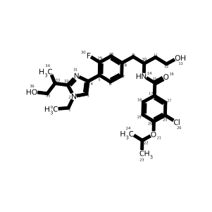 CCn1cc(-c2ccc(CC(CCO)NC(=O)c3ccc(OC(C)C)c(Cl)c3)cc2F)nc1C(C)CO